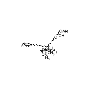 CC(C[N+](C)(C)C)P(=O)(O)O.CCCCC/C=C\CCCCCCCCCC/C=C\CCCCCOC[C@@H](O)COC